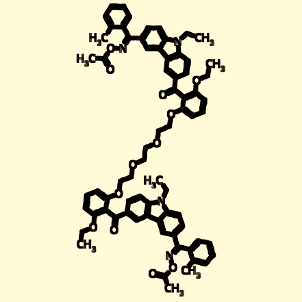 CCOc1cccc(OCCOCCOCCOc2cccc(OCC)c2C(=O)c2ccc3c(c2)c2cc(C(=NOC(C)=O)c4ccccc4C)ccc2n3CC)c1C(=O)c1ccc2c(c1)c1cc(C(=NOC(C)=O)c3ccccc3C)ccc1n2CC